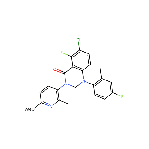 COc1ccc(N2CN(c3ccc(F)cc3C)c3ccc(Cl)c(F)c3C2=O)c(C)n1